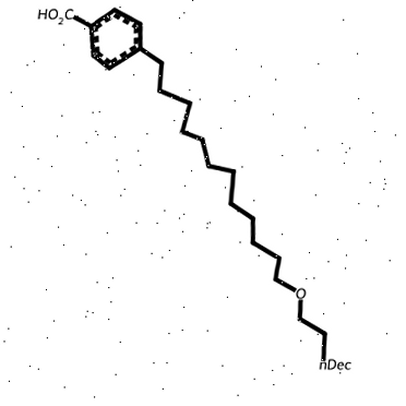 CCCCCCCCCCCCOCCCCCCCCCCCCc1ccc(C(=O)O)cc1